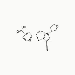 N#Cc1cn(C2CCOC2)c2ccc(-c3cc(C(=O)O)ccn3)cc12